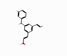 CCOC(=O)C=Cc1cc(C=CC(N)=O)cc(C(O)c2cccc(F)c2)c1